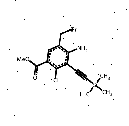 COC(=O)c1cc(CC(C)C)c(N)c(C#C[Si](C)(C)C)c1Cl